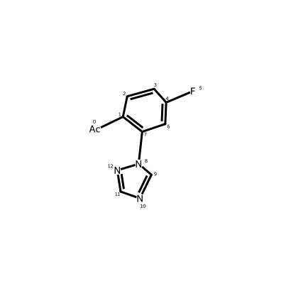 CC(=O)c1ccc(F)cc1-n1cncn1